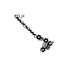 CN1CCC(Nc2cccc(NCc3ccc(OCCCCCCOCCOCCOCCCCCC(=O)O)cc3)c2)(c2nnc(-c3ccncc3)[nH]2)CC1